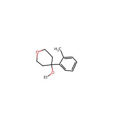 CCOC1(c2ccccc2C)CCOCC1